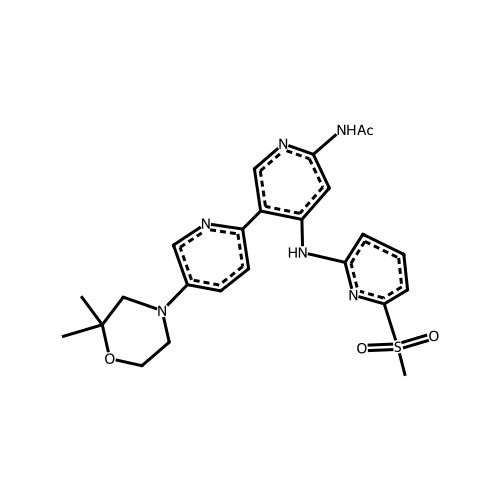 CC(=O)Nc1cc(Nc2cccc(S(C)(=O)=O)n2)c(-c2ccc(N3CCOC(C)(C)C3)cn2)cn1